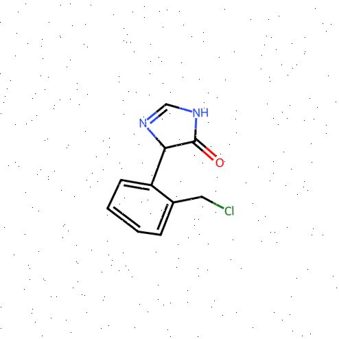 O=C1NC=NC1c1ccccc1CCl